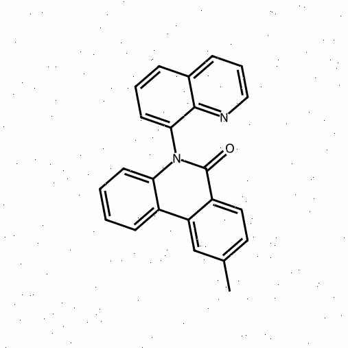 Cc1ccc2c(=O)n(-c3cccc4cccnc34)c3ccccc3c2c1